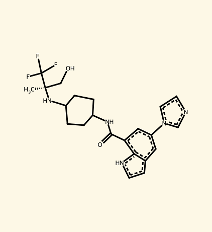 C[C@](CO)(NC1CCC(NC(=O)c2cc(-n3ccnc3)cc3cc[nH]c23)CC1)C(F)(F)F